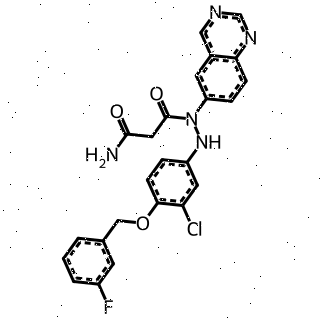 NC(=O)CC(=O)N(Nc1ccc(OCc2cccc(F)c2)c(Cl)c1)c1ccc2ncncc2c1